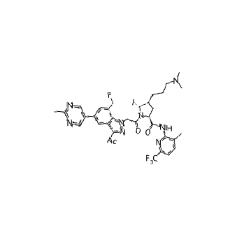 CC(=O)c1nn(CC(=O)N2[C@H](I)[C@@H](CCCN(C)C)C[C@H]2C(=O)Nc2nc(C(F)(F)F)ccc2C)c2c(CF)cc(-c3cnc(C)nc3)cc12